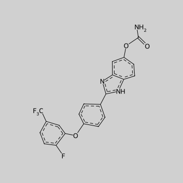 NC(=O)Oc1ccc2[nH]c(-c3ccc(Oc4cc(C(F)(F)F)ccc4F)cc3)nc2c1